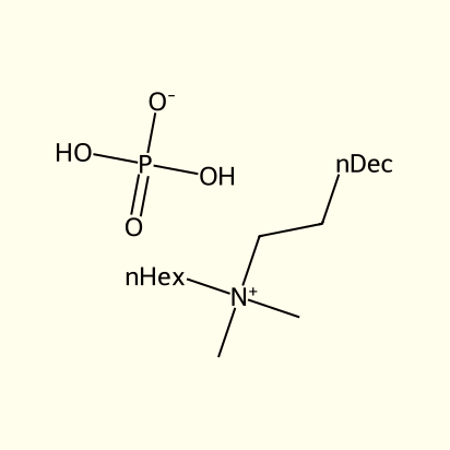 CCCCCCCCCCCC[N+](C)(C)CCCCCC.O=P([O-])(O)O